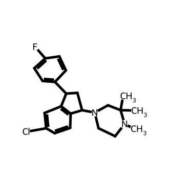 CN1CCN(C2CC(c3ccc(F)cc3)c3cc(Cl)ccc32)CC1(C)C